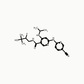 CC(C)Nc1cc(Nc2ccc(C#N)cn2)ncc1C(=O)NCC(F)C(C)(C)O